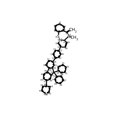 C=C1c2ccccc2SN2C=C(c3ccc(-c4ccc5c(c4)C(c4ccccc4)(c4ccccc4)c4cc(-c6ccncc6)ccc4-5)cc3)C=CC2N1C